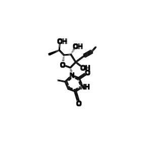 CC#CC1(O)[C@@H](O)[C@@H]([C@@H](C)O)O[C@H]1n1c(C)cc(=O)[nH]c1=O